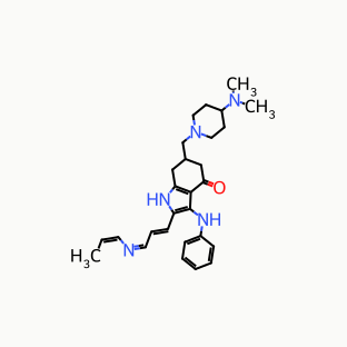 C\C=C/N=C\C=C\c1[nH]c2c(c1Nc1ccccc1)C(=O)CC(CN1CCC(N(C)C)CC1)C2